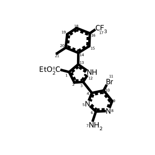 CCOC(=O)c1cc(-c2nc(N)ncc2Br)[nH]c1-c1cc(C(F)(F)F)ccc1C